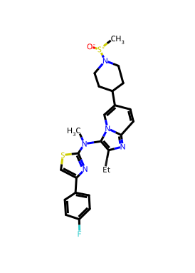 CCc1nc2ccc(C3CCN([S+](C)[O-])CC3)cn2c1N(C)c1nc(-c2ccc(F)cc2)cs1